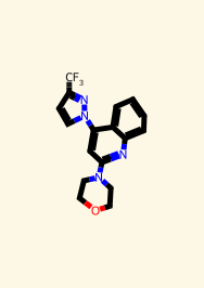 FC(F)(F)c1ccn(-c2cc(N3CCOCC3)nc3ccccc23)n1